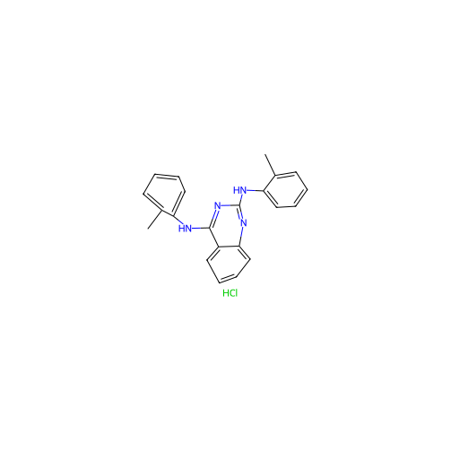 Cc1ccccc1Nc1nc(Nc2ccccc2C)c2ccccc2n1.Cl